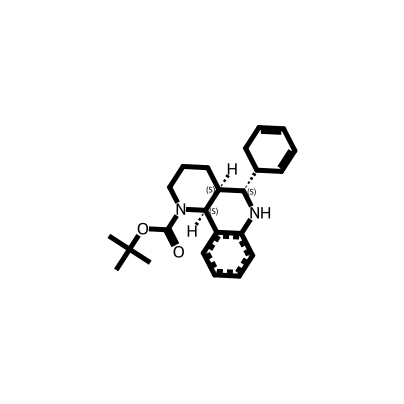 CC(C)(C)OC(=O)N1CCC[C@@H]2[C@H]1c1ccccc1N[C@H]2C1C=CC=CC1